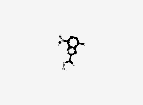 COC(=O)c1cc2c(Cl)ccc([N+](=O)[O-])c2s1